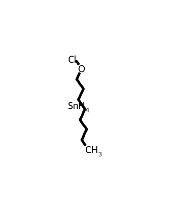 CCCCCCCCOCl.[SnH4]